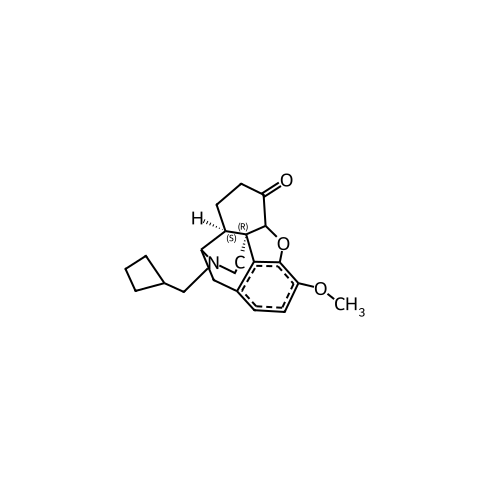 COc1ccc2c3c1OC1C(=O)CC[C@@H]4C(C2)N(CC2CCC2)CC[C@@]314